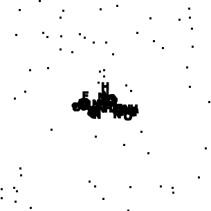 COc1cc(F)cc(-c2ccnc3[nH]c(-c4n[nH]c5ccc(-c6cncc(NC(=O)C(C)(C)C)c6)cc45)nc23)c1